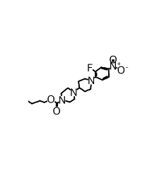 CCCCOC(=O)N1CCN(C2CCN(c3ccc([N+](=O)[O-])cc3F)CC2)CC1